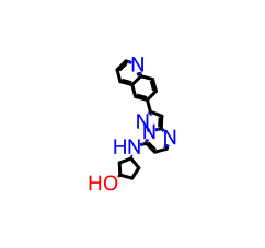 O[C@@H]1CC[C@@H](Nc2ccnc3cc(-c4ccc5ncccc5c4)nn23)C1